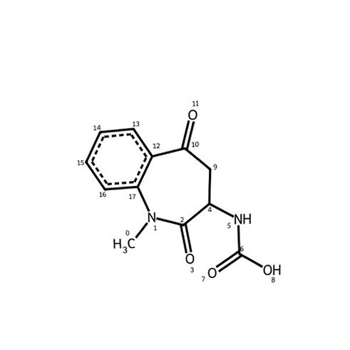 CN1C(=O)C(NC(=O)O)CC(=O)c2ccccc21